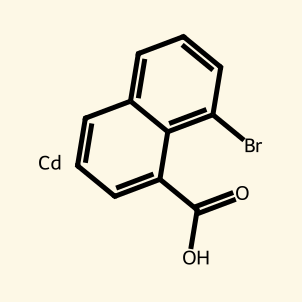 O=C(O)c1cccc2cccc(Br)c12.[Cd]